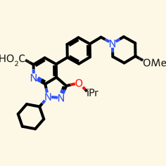 COC1CCN(Cc2ccc(-c3cc(C(=O)O)nc4c3c(OC(C)C)nn4C3CCCCC3)cc2)CC1